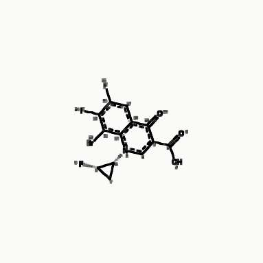 O=C(O)c1cn([C@@H]2C[C@@H]2F)c2c(Br)c(F)c(F)cc2c1=O